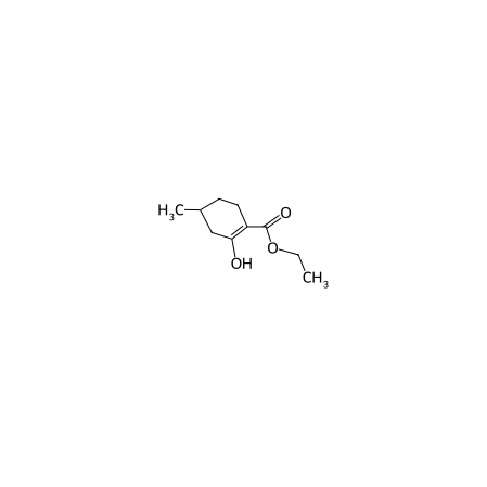 CCOC(=O)C1=C(O)CC(C)CC1